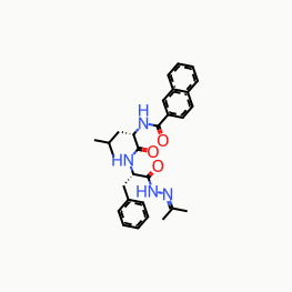 CC(C)=NNC(=O)[C@H](Cc1ccccc1)NC(=O)[C@H](CC(C)C)NC(=O)c1ccc2ccccc2c1